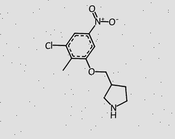 Cc1c(Cl)cc([N+](=O)[O-])cc1OCC1CCNC1